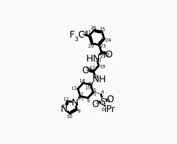 CC(C)S(=O)(=O)C[C@@H]1C[C@H](n2ccnc2)CC[C@@H]1NC(=O)CNC(=O)c1cccc(C(F)(F)F)c1